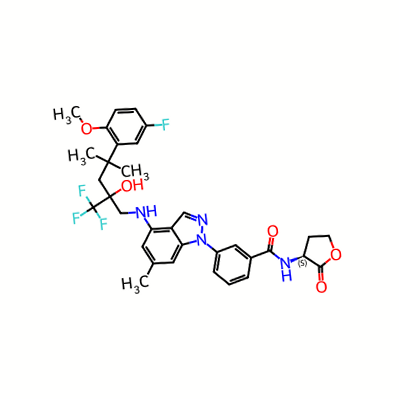 COc1ccc(F)cc1C(C)(C)CC(O)(CNc1cc(C)cc2c1cnn2-c1cccc(C(=O)N[C@H]2CCOC2=O)c1)C(F)(F)F